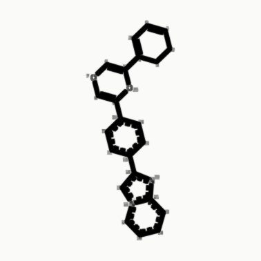 C1=CCCC(C2=COC=C(c3ccc(-c4cn5ccccc5n4)cc3)O2)=C1